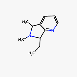 CCC1c2ncccc2C(C)N1C